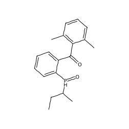 CCC(C)[PH](=O)c1ccccc1C(=O)c1c(C)cccc1C